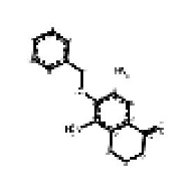 Cl.Nc1c(OCc2ccccc2)ccc2c1CCCC2=O